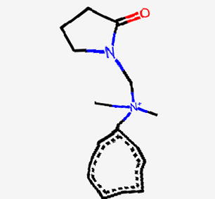 C[N+](C)(CN1CCCC1=O)c1ccccc1